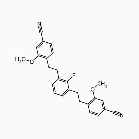 COc1cc(C#N)ccc1CCc1cccc(CCc2ccc(C#N)cc2OC)c1F